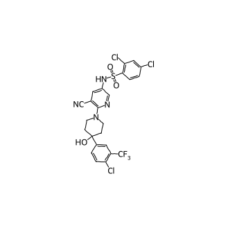 N#Cc1cc(NS(=O)(=O)c2ccc(Cl)cc2Cl)cnc1N1CCC(O)(c2ccc(Cl)c(C(F)(F)F)c2)CC1